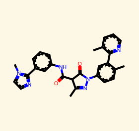 CC1=NN(c2ccc(C)c(-c3ncccc3C)c2)C(=O)C1C(=O)Nc1cccc(-c2nccn2C)c1